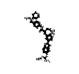 CCCOC(C)Oc1ccc2oc(-c3ccc4c(c3)C=C(C(=O)Nc3ccc(CN(C)C5CCOCC5)cc3)CCS4(=O)=O)cc2c1